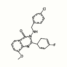 COc1cccc2c(=O)n(NCc3ccc(Cl)cc3)c(C3C=CC(F)=CC3)nc12